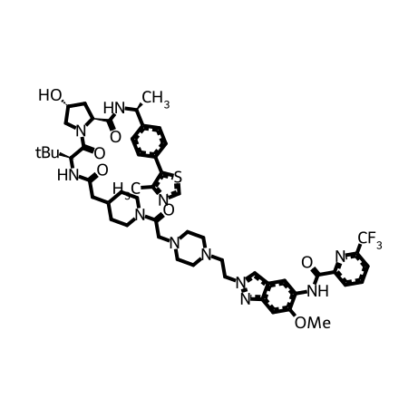 COc1cc2nn(CCN3CCN(CC(=O)N4CCC(CC(=O)N[C@H](C(=O)N5C[C@H](O)C[C@H]5C(=O)N[C@@H](C)c5ccc(-c6scnc6C)cc5)C(C)(C)C)CC4)CC3)cc2cc1NC(=O)c1cccc(C(F)(F)F)n1